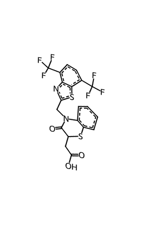 O=C(O)CC1Sc2ccccc2N(Cc2nc3c(C(F)(F)F)ccc(C(F)(F)F)c3s2)C1=O